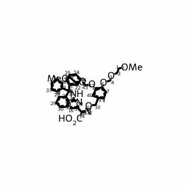 COCCOCOc1ccc(CON=C(C(=O)O)c2csc(NC(c3ccccc3)(c3ccccc3)c3ccccc3)n2)cc1OCOCCOC